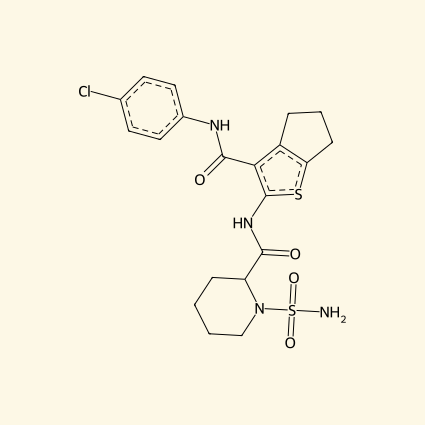 NS(=O)(=O)N1CCCCC1C(=O)Nc1sc2c(c1C(=O)Nc1ccc(Cl)cc1)CCC2